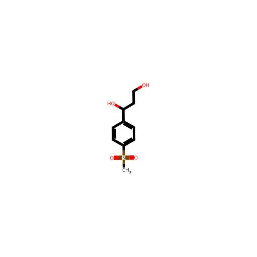 CS(=O)(=O)c1ccc(C(O)CCO)cc1